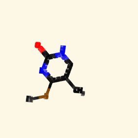 CCSc1nc(=O)[nH]cc1C